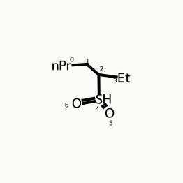 [CH2]CCCC(CC)[SH](=O)=O